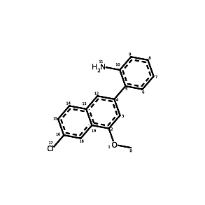 COc1cc(-c2ccccc2N)cc2ccc(Cl)cc12